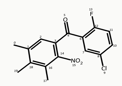 Cc1cc(C(=O)c2cc(Cl)ccc2F)c([N+](=O)[O-])c(C)c1C